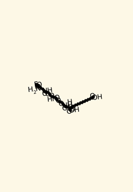 N[C@H](CCCCNC(=O)COCCOCCNC(=O)COCCOCCNC(=O)CC[C@H](NC(=O)CCCCCCCCCCCCCCCCC(=O)O)C(=O)O)C(=O)B(F)I